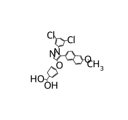 COc1ccc2cc(-c3c(OC4=CCC(C(O)O)C=C4)cnn3-c3cc(Cl)cc(Cl)c3)ccc2c1